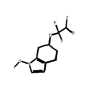 FC(F)C(F)(F)OC1CCc2ccn(SI)c2C1